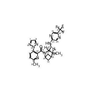 Cc1ccc(-n2nccn2)c(C(=O)N2C3CC(C3)[C@@H](C)[C@H]2CNc2cnc(C(F)(F)F)cn2)n1